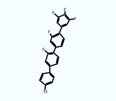 CCc1ccc(-c2ccc(-c3ccc(-c4cc(F)c(F)c(F)c4)c(F)c3)c(F)c2)cc1